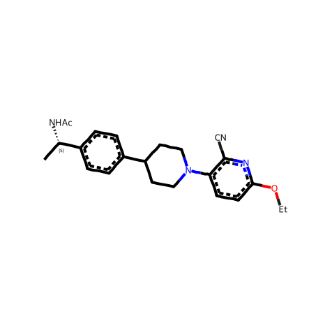 CCOc1ccc(N2CCC(c3ccc([C@H](C)NC(C)=O)cc3)CC2)c(C#N)n1